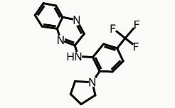 FC(F)(F)c1ccc(N2CCCC2)c(Nc2cnc3ccccc3n2)c1